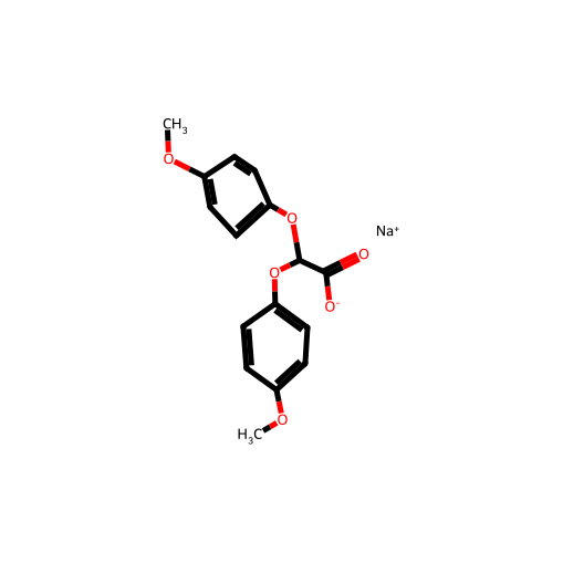 COc1ccc(OC(Oc2ccc(OC)cc2)C(=O)[O-])cc1.[Na+]